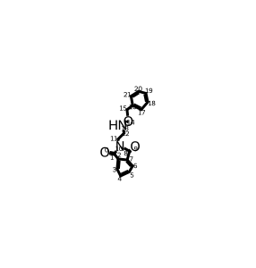 O=C1c2ccccc2C(=O)N1CCNOCc1ccccc1